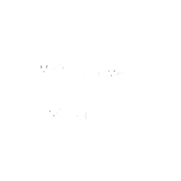 COc1cc(OC)cc(C(O)C#N)c1